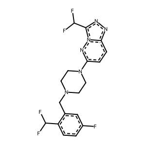 Fc1ccc(C(F)F)c(CN2CCN(c3ccc4nnc(C(F)F)n4n3)CC2)c1